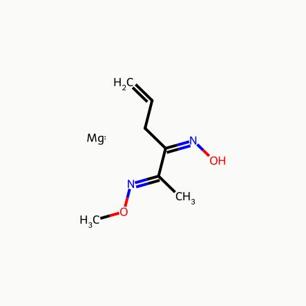 C=CCC(=NO)C(C)=NOC.[Mg]